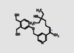 CCC(O)(CC)CC/C=C(/C)c1cncc(COc2ccc(CO)c(CO)c2)c1